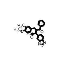 COc1ccc(CC(C(=O)c2ccccc2)=C(C(=O)O)c2ccc3nsnc3c2)cc1C